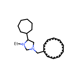 CCN1CN(Cc2ccccccccc2)CC1C1CCCCCC1